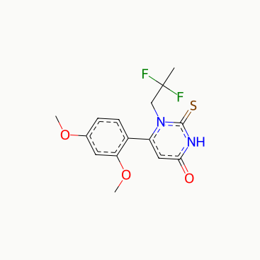 COc1ccc(-c2cc(=O)[nH]c(=S)n2CC(C)(F)F)c(OC)c1